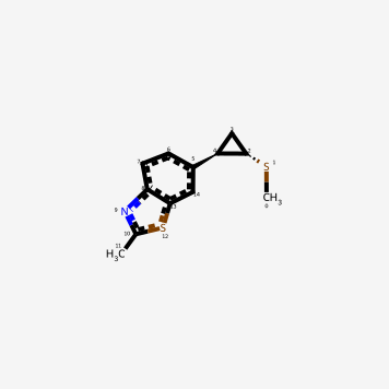 CS[C@H]1C[C@@H]1c1ccc2nc(C)sc2c1